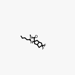 CCCCC1=NC2(CC3CC(F)(F)CC3C2)C(=O)N1C